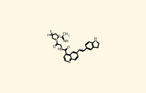 CC(=N)[C@@H]1CC(F)(F)CN1C(=O)CNC(=O)c1ccnc2ccc(/C=C/c3ccc4c(c3)CCN4)cc12